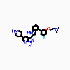 CN(C)CCOc1cc(F)cc(-c2cccc3[nH]c(-c4n[nH]c5ncc(C6CCNCC6)cc45)cc23)c1